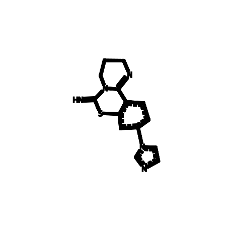 N=C1Sc2cc(-n3ccnc3)ccc2C2=NCCCN12